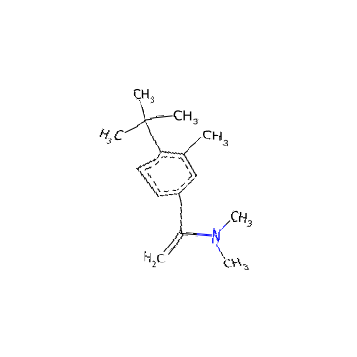 C=C(c1ccc(C(C)(C)C)c(C)c1)N(C)C